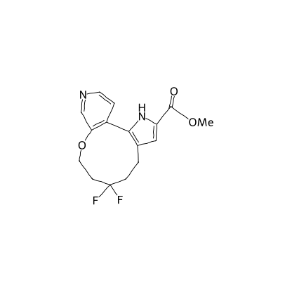 COC(=O)c1cc2c([nH]1)-c1ccncc1OCCC(F)(F)CC2